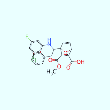 COC(=O)C1=C(C(=O)O)C2C=CC1(C(Cc1ccccc1)Nc1cc(F)cc(Cl)c1)O2